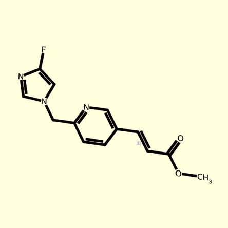 COC(=O)/C=C/c1ccc(Cn2cnc(F)c2)nc1